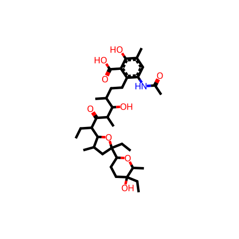 CCC(C(=O)C(C)C(O)C(C)CCc1c(NC(C)=O)cc(C)c(O)c1C(=O)O)C1OC(CC)(C2CCC(O)(CC)C(C)O2)CC1C